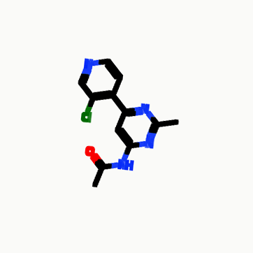 CC(=O)Nc1cc(-c2ccncc2Cl)nc(C)n1